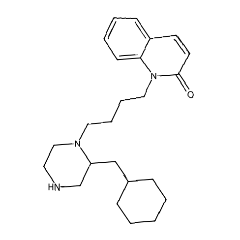 O=c1ccc2ccccc2n1CCCCN1CCNCC1CC1CCCCC1